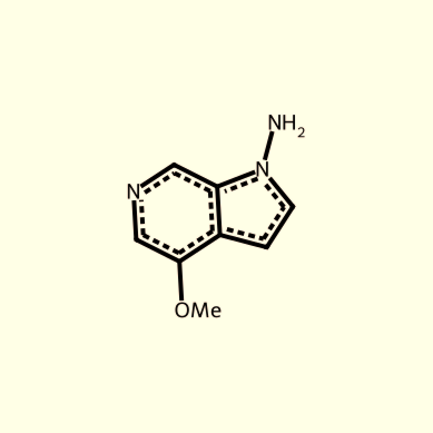 COc1cncc2c1ccn2N